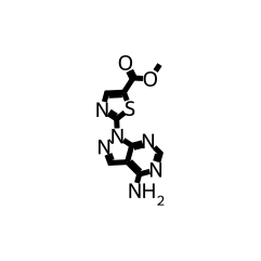 COC(=O)c1cnc(-n2ncc3c(N)ncnc32)s1